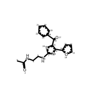 CC(=O)NCCNc1nc(-c2ccco2)c(C(=O)c2ccccc2)s1